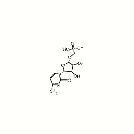 Nc1ccn([C@@H]2O[C@H](OCP(=O)(O)O)[C@@H](O)[C@H]2O)c(=O)n1